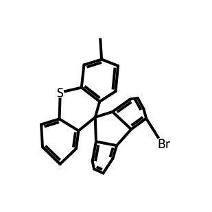 Cc1ccc2c(c1)Sc1ccccc1C21c2ccccc2-c2c(Br)cccc21